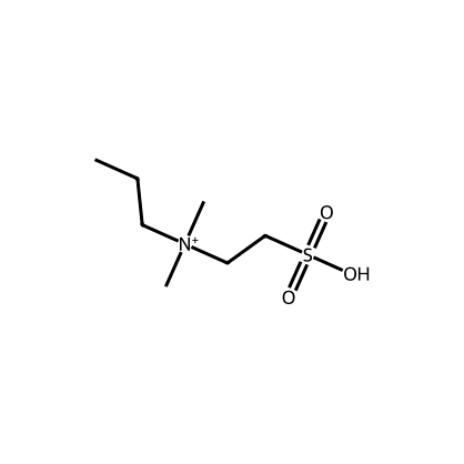 CCC[N+](C)(C)CCS(=O)(=O)O